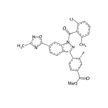 COC(=O)c1ccc(-c2nn(C(=O)c3c(C)cccc3Cl)c3cc(-c4nc(C)no4)ccc23)c(F)c1